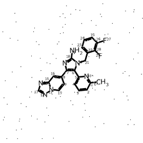 Cc1cccc(-c2c(-c3ccn4ncnc4c3)nc(N)n2Cc2cccc(F)c2F)n1